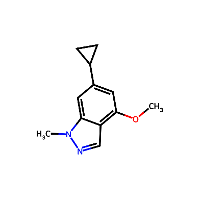 COc1cc(C2CC2)cc2c1cnn2C